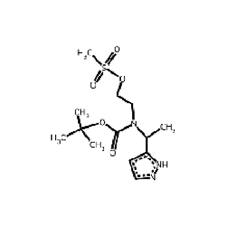 CC(c1ccn[nH]1)N(CCOS(C)(=O)=O)C(=O)OC(C)(C)C